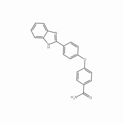 NC(=O)c1ccc(Oc2ccc(-c3nc4ccccc4[nH]3)cc2)cc1